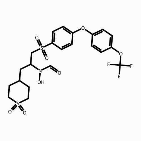 O=CN(O)C(CC1CCS(=O)(=O)CC1)CS(=O)(=O)c1ccc(Oc2ccc(OC(F)(F)F)cc2)cc1